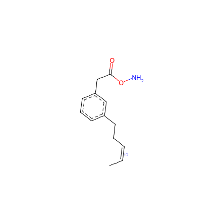 C/C=C\CCc1cccc(CC(=O)ON)c1